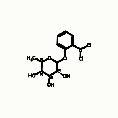 C[C@H]1OC(Oc2ccccc2N(Cl)Cl)[C@H](O)[C@@H](O)[C@H]1O